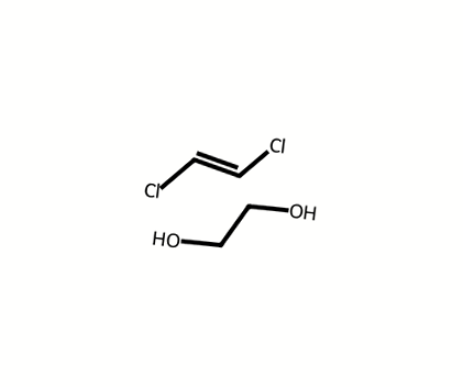 Cl/C=C/Cl.OCCO